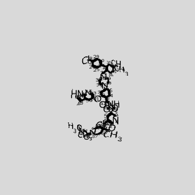 CC(Oc1ncc(S(=O)(=O)NC(=O)c2ccc(N3CCN(CC4=C(c5ccc(Cl)cc5)CC(C)(C)CC4)CC3)cc2Oc2cnc3[nH]ccc3c2)cc1Cl)C1(F)CCN(C(=O)CN(C)C)CC1